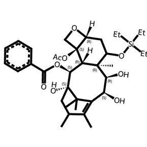 CC[Si](CC)(CC)OC1C[C@H]2OC[C@@]2(OC(C)=O)[C@H]2[C@H](OC(=O)c3ccccc3)[C@]3(O)CC(C)C(C)=C([C@H](O)[C@H](O)[C@]12C)C3(C)C